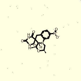 C[C@@H]1CN2c3cc([N+](=O)[O-])ccc3CC3(C(=O)NC(=O)NC3=O)[C@H]2[C@H](C)O1